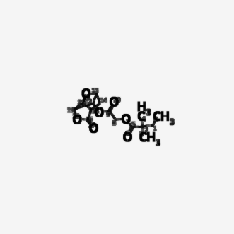 CCC(C)(C)C(=O)OCC(=O)OC1C2CC3C(=O)OC1C3O2